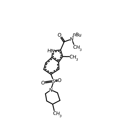 CCCCN(C)C(=O)c1[nH]c2ccc(S(=O)(=O)N3CCC(C)CC3)cc2c1C